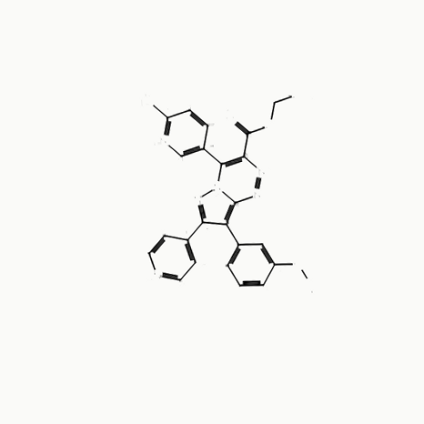 CCOC(=O)c1nnc2c(-c3cccc(OC)c3)c(-c3ccncc3)nn2c1-c1ccc(Br)nc1